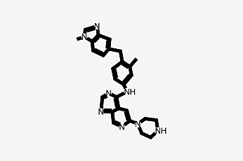 Cc1cc(Nc2ncnc3cnc(N4CCNCC4)cc23)ccc1Cc1ccc2c(c1)ncn2C